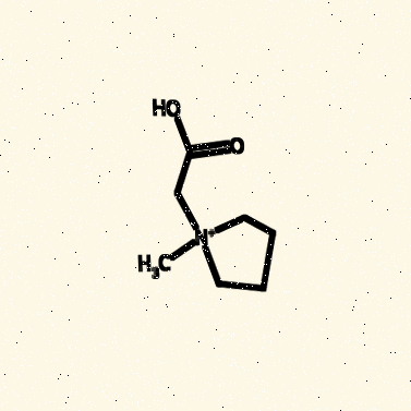 C[N+]1(CC(=O)O)CCCC1